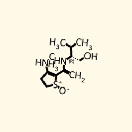 C=C(N[C@@H](CO)C(C)C)C1=C(NC)CC[S+]1[O-]